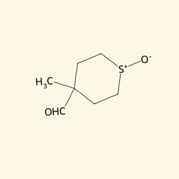 CC1(C=O)CC[S+]([O-])CC1